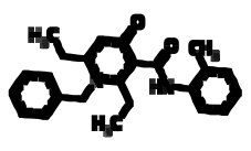 CCc1cc(=O)c(C(=O)Nc2ccccc2C)c(CC)n1Cc1ccccc1